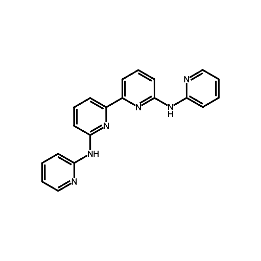 c1ccc(Nc2cccc(-c3cccc(Nc4ccccn4)n3)n2)nc1